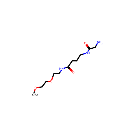 CC(=O)OOCCOCCNC(=O)CCCNC(=O)CN